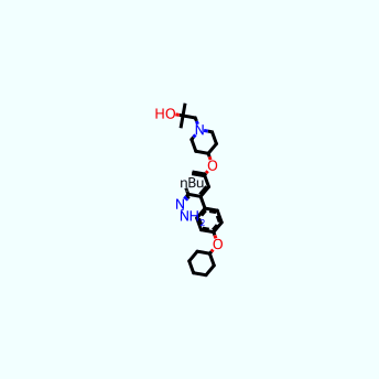 C=C(/C=C(\C(CCCC)=N/N)c1ccc(OC2CCCCC2)cc1)OC1CCN(CC(C)(C)O)CC1